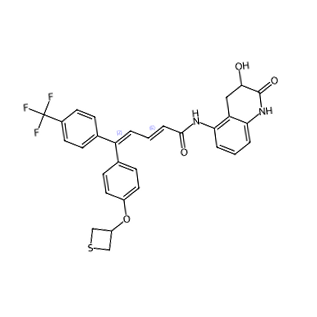 O=C(/C=C/C=C(\c1ccc(OC2CSC2)cc1)c1ccc(C(F)(F)F)cc1)Nc1cccc2c1CC(O)C(=O)N2